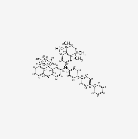 CC1(C)CCC(C)(C)c2cc(N(c3ccc(-c4ccc(-c5ccccc5)cc4)cc3)c3ccc4c(c3)C3(c5ccccc5S4)C4CC5CC(C4)C3C5)ccc21